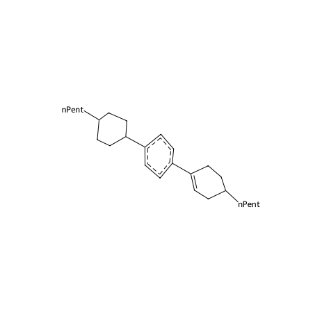 CCCCCC1CC=C(c2ccc(C3CCC(CCCCC)CC3)cc2)CC1